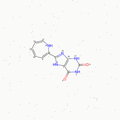 O=c1[nH]c(=O)c2[nH]c(C3=CC=CC=CN3)nc2[nH]1